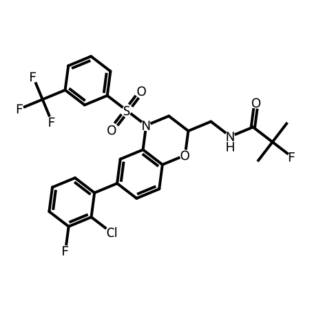 CC(C)(F)C(=O)NCC1CN(S(=O)(=O)c2cccc(C(F)(F)F)c2)c2cc(-c3cccc(F)c3Cl)ccc2O1